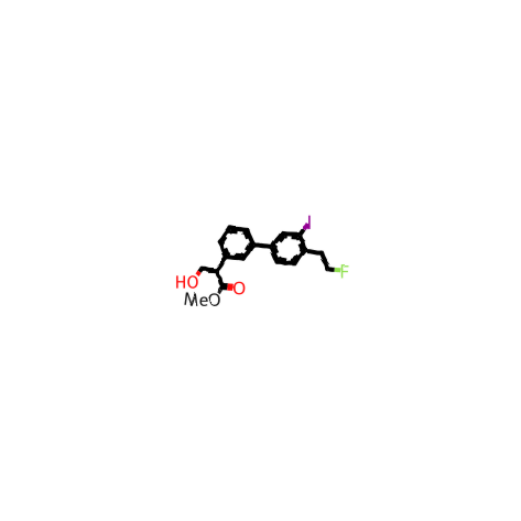 COC(=O)C(CO)c1cccc(-c2ccc(CCF)c(I)c2)c1